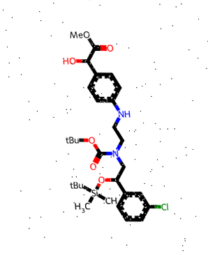 COC(=O)C(O)c1ccc(NCCN(CC(O[Si](C)(C)C(C)(C)C)c2cccc(Cl)c2)C(=O)OC(C)(C)C)cc1